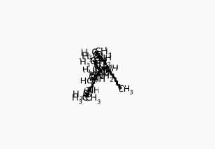 CCCCCCCCCCCC(=O)N[C@@H](CCCCNC(=O)OC(C)(C)C)C(=O)N[C@H](C(=O)N[C@@H](N)C(=O)N[C@@H](CCCCNC(=O)OC(C)(C)C)C(=O)O)[C@@H](C)OCC(C)C